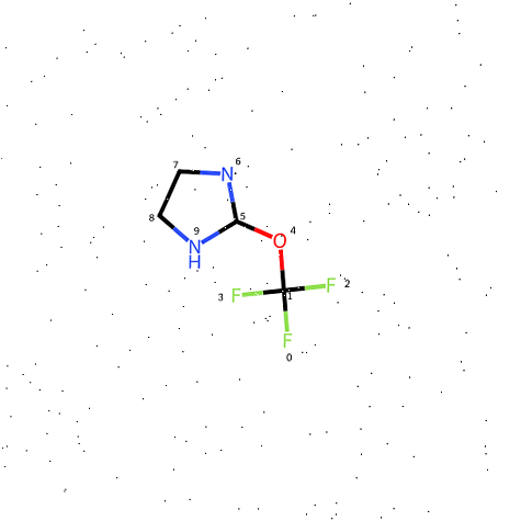 FC(F)(F)OC1[N]CCN1